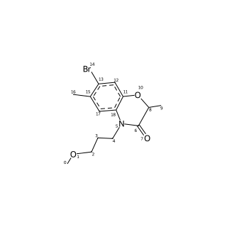 COCCCN1C(=O)C(C)Oc2cc(Br)c(C)cc21